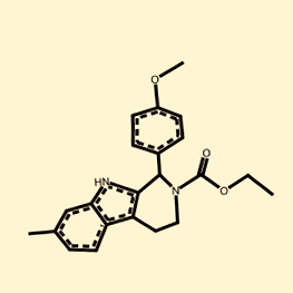 CCOC(=O)N1CCc2c([nH]c3cc(C)ccc23)C1c1ccc(OC)cc1